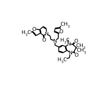 CCN1C(=O)C(C)(C)C(=O)N(C)c2cc(CN(CCn3ccc4oc(C)cc4c3=O)Cc3ccc(C)o3)ccc21